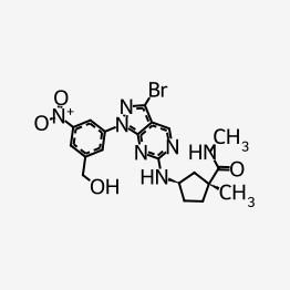 CNC(=O)[C@]1(C)CC[C@@H](Nc2ncc3c(Br)nn(-c4cc(CO)cc([N+](=O)[O-])c4)c3n2)C1